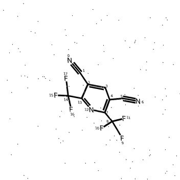 N#Cc1cc(C#N)c(C(F)(F)F)nc1C(F)(F)F